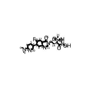 CN(C)c1ccc(-c2cc3ncn(CC[C@H](C(=O)NO)S(C)(=O)=O)c(=O)c3cc2F)cn1